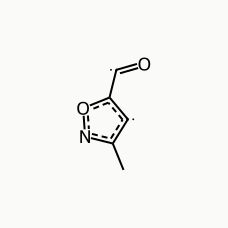 Cc1[c]c([C]=O)on1